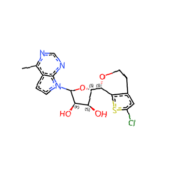 Cc1ncnc2c1ccn2C1O[C@H]([C@@H]2OCCc3cc(Cl)sc32)[C@@H](O)[C@H]1O